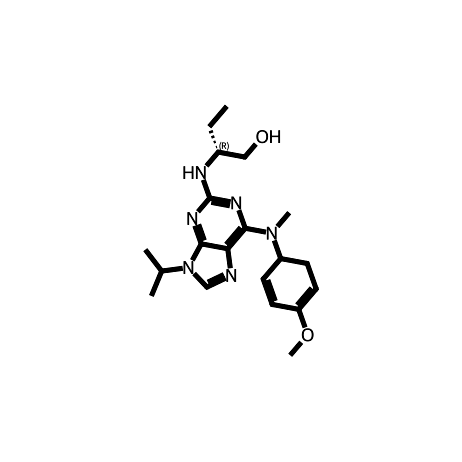 CC[C@H](CO)Nc1nc(N(C)C2C=CC(OC)=CC2)c2ncn(C(C)C)c2n1